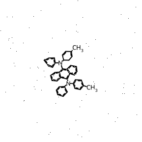 CC1=CCC(N(c2ccccc2)c2c3ccccc3c(N(c3ccccc3)c3ccc(C)cc3)c3ccccc23)C=C1